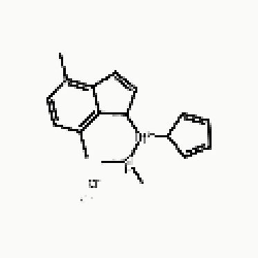 Cc1ccc(C)c2c1C=C[CH]2[Hf+2]([CH]1C=CC=C1)[SiH](C)C.[Cl-].[Cl-]